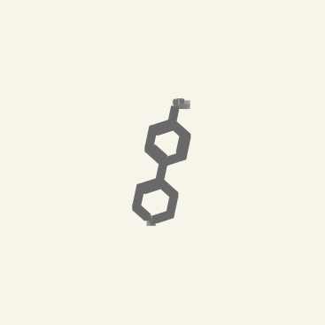 CC(C)(C)c1ccc(C2=CC[N]CC2)cc1